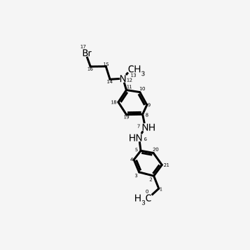 CCc1ccc(NNc2ccc(N(C)CCCBr)cc2)cc1